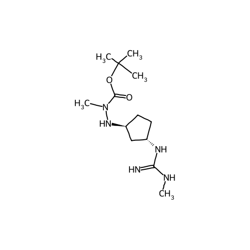 CNC(=N)N[C@H]1CC[C@H](NN(C)C(=O)OC(C)(C)C)C1